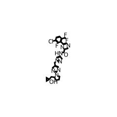 O=C(Nc1cnn(Cc2cnc(N3CCCC3CC3(O)CC3)nc2)c1)c1cncc(-c2c(C(F)F)ccc(Cl)c2F)n1